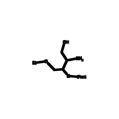 CCCC(C)OC(COCC)C(N)CO